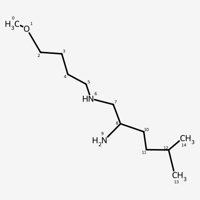 COCCCCNCC(N)CCC(C)C